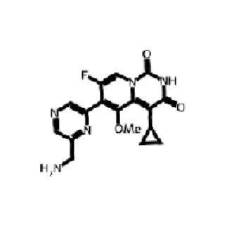 COc1c(-c2cncc(CN)n2)c(F)cn2c(=O)[nH]c(=O)c(C3CC3)c12